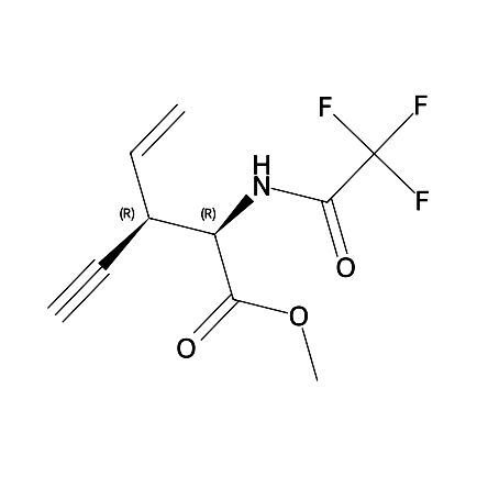 C#C[C@@H](C=C)[C@@H](NC(=O)C(F)(F)F)C(=O)OC